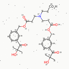 CC(C)(O)C(=O)c1cccc(COC(=O)CCN(CCC(=O)O)CCC(=O)OCc2cccc(C(=O)C(C)(C)O)c2)c1